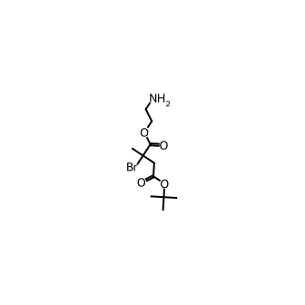 CC(C)(C)OC(=O)CC(C)(Br)C(=O)OCCN